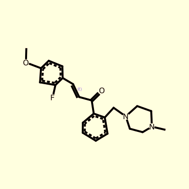 COc1ccc(/C=C/C(=O)c2ccccc2CN2CCN(C)CC2)c(F)c1